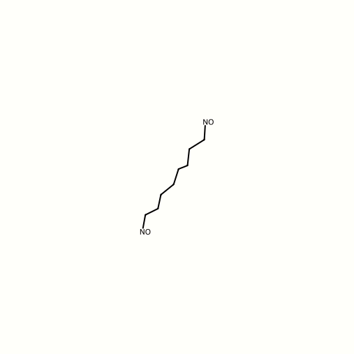 O=NCCCCCCCCN=O